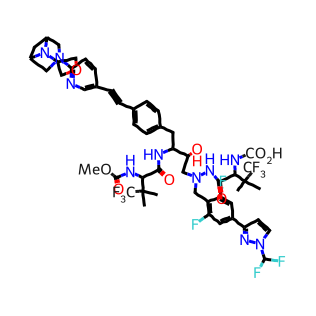 COC(=O)NC(C(=O)NC(Cc1ccc(C#Cc2ccc(N3CC4CC(C3)N4C3COC3)nc2)cc1)C(O)CN(Cc1c(F)cc(-c2ccn(C(F)F)n2)cc1F)NC(=O)C(NC(=O)O)C(C)(C)C(F)(F)F)C(C)(C)C(F)(F)F